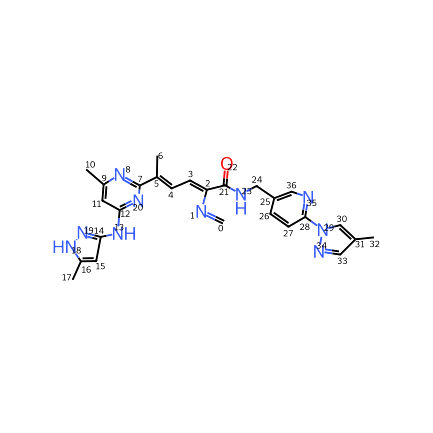 C=N/C(=C\C=C(/C)c1nc(C)cc(Nc2cc(C)[nH]n2)n1)C(=O)NCc1ccc(-n2cc(C)cn2)nc1